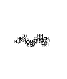 COc1cc(N2C[C@@H](C)N[C@@H](C)C2)ccc1NS(=O)(=O)c1ccc(NC(=O)N[C@H](C)c2cccc(Cl)c2Cl)cc1